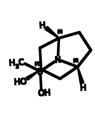 CB(O)N1[C@@H]2CC[C@H]1C[C@@H](O)C2